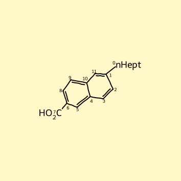 CCCCCCCc1ccc2cc(C(=O)O)ccc2c1